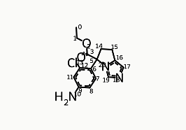 CCOC(=O)C1(c2ccc(N)cc2Cl)CCc2cncn21